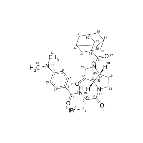 CC(C)C[C@H](NC(=O)c1ccc(N(C)C)cc1)C(=O)N1CC[C@@H]2[C@H]1C(=O)CN2C(=O)C12CC3CC(CC(C3)C1)C2